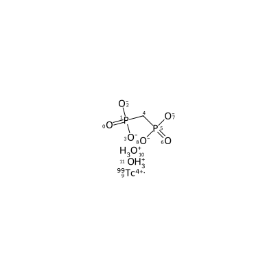 O=P([O-])([O-])CP(=O)([O-])[O-].[99Tc+4].[OH3+].[OH3+]